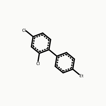 CCc1ccc(-c2ccc(Cl)cc2Cl)cc1